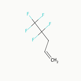 C=CCC(F)(F)C(F)(F)F